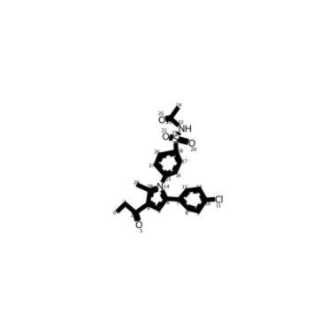 CCC(=O)c1cc(-c2ccc(Cl)cc2)n(-c2ccc(S(=O)(=O)NC(C)=O)cc2)c1C